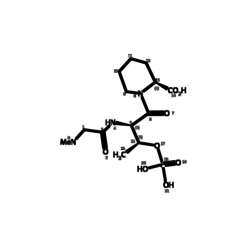 CNCC(=O)N[C@@H](C(=O)N1CCCC[C@H]1C(=O)O)[C@H](C)OP(=O)(O)O